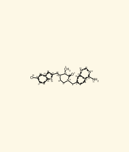 C[C@H]1C(=O)N(Cc2ccc3c(N)ncnc3c2)CCN1Cc1cc2cc(Cl)ccc2s1